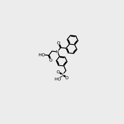 O=C(O)CN(C(=O)c1cccc2ccccc12)c1ccc(CS(=O)(=O)O)cc1